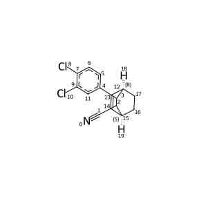 N#CC1C(c2ccc(Cl)c(Cl)c2)[C@H]2C=C[C@@H]1CC2